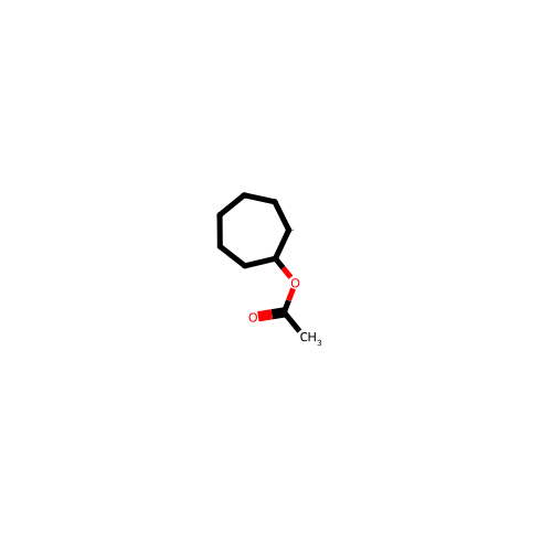 CC(=O)OC1[CH]CCCCC1